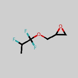 CC(F)C(F)(F)OCC1CO1